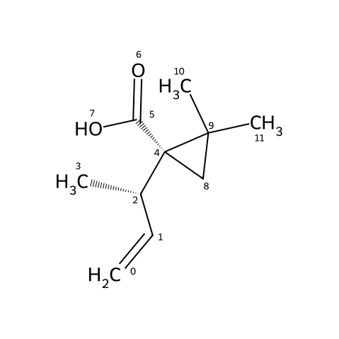 C=C[C@H](C)[C@]1(C(=O)O)CC1(C)C